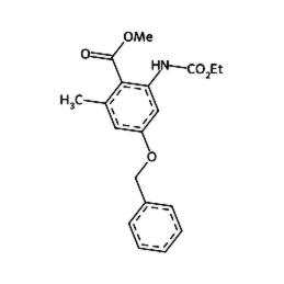 CCOC(=O)Nc1cc(OCc2ccccc2)cc(C)c1C(=O)OC